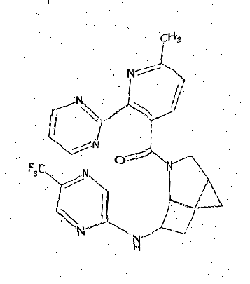 Cc1ccc(C(=O)N2CC3CC34CC(Nc3cnc(C(F)(F)F)cn3)C24)c(-c2ncccn2)n1